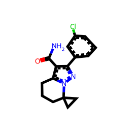 NC(=O)c1c(-c2cccc(Cl)c2)nn2c1CCCC21CC1